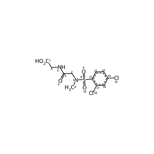 CN(CC(=O)NCC(=O)O)S(=O)(=O)c1ccc(Cl)cc1Cl